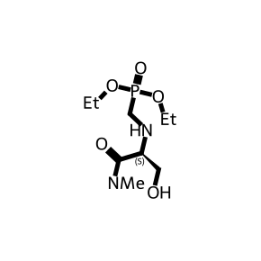 CCOP(=O)(CN[C@@H](CO)C(=O)NC)OCC